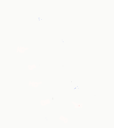 CNC1CCN(C)c2c1cc(O)c1c2C[C@H]2C[C@@H]3[C@@H](C(=O)C(C(N)=O)=C(O)[C@@H]3N(C)C)C(O)=C2C1=O